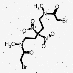 CN(CCC(CCN(C)C(=O)CBr)([N+](=O)[O-])[N+](=O)[O-])C(=O)CBr